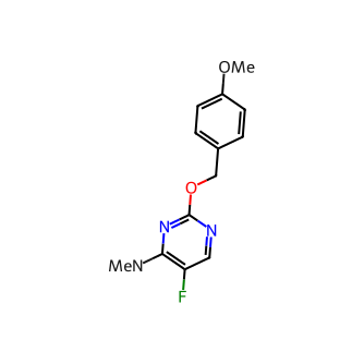 CNc1nc(OCc2ccc(OC)cc2)ncc1F